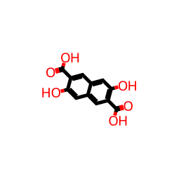 O=C(O)c1cc2cc(O)c(C(=O)O)cc2cc1O